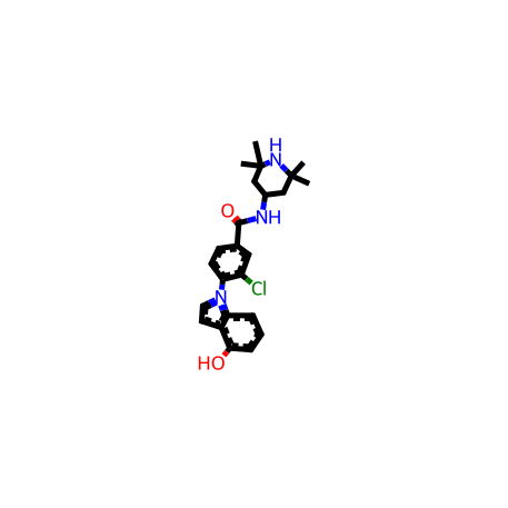 CC1(C)CC(NC(=O)c2ccc(-n3ccc4c(O)cccc43)c(Cl)c2)CC(C)(C)N1